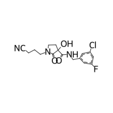 N#CCCCN1CCC(O)(C(=O)NCc2cc(F)cc(Cl)c2)C1=O